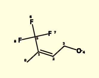 CC(=CC[O])C(F)(F)F